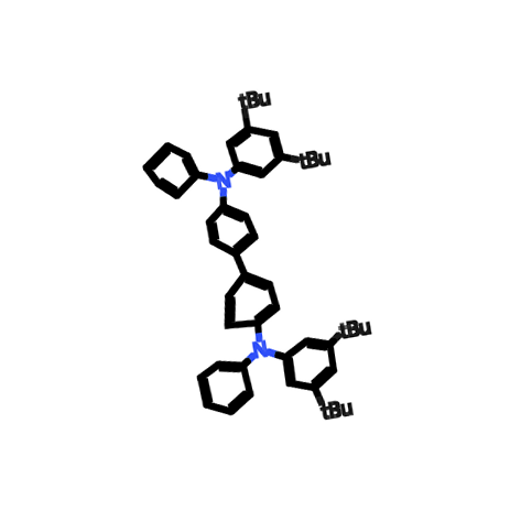 CC(C)(C)c1cc(N(c2ccccc2)c2ccc(-c3ccc(N(c4ccccc4)c4cc(C(C)(C)C)cc(C(C)(C)C)c4)cc3)cc2)cc(C(C)(C)C)c1